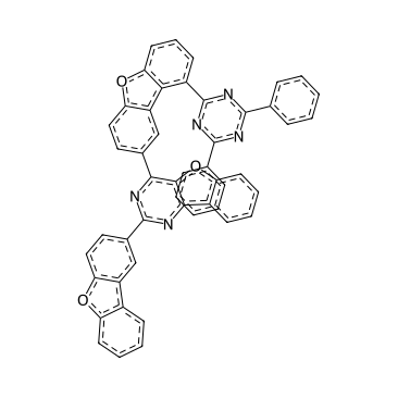 c1ccc(-c2nc(-c3ccccc3)nc(-c3cccc4oc5ccc(-c6nc(-c7ccc8oc9ccccc9c8c7)nc7c6oc6ccccc67)cc5c34)n2)cc1